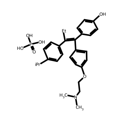 CC/C(=C(\c1ccc(O)cc1)c1ccc(OCCN(C)C)cc1)c1ccc(C(C)C)cc1.O=P(O)(O)O